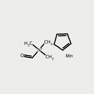 C[N+](C)(C)C=O.[CH]1C=CC=C1.[Mn]